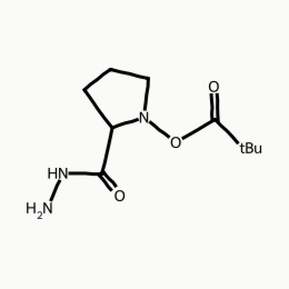 CC(C)(C)C(=O)ON1CCCC1C(=O)NN